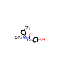 COc1ccc(C(F)(F)F)cc1NC(=O)Nc1ccc(O)cc1